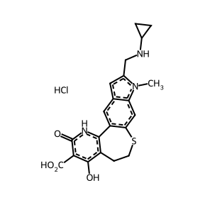 Cl.Cn1c(CNC2CC2)cc2cc3c(cc21)SCCc1c-3[nH]c(=O)c(C(=O)O)c1O